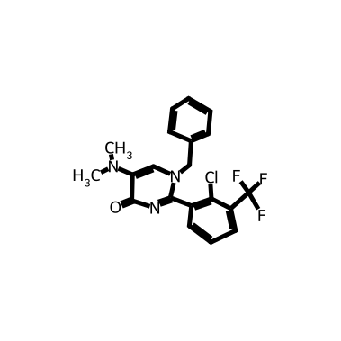 CN(C)c1cn(Cc2ccccc2)c(-c2cccc(C(F)(F)F)c2Cl)nc1=O